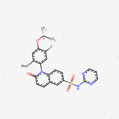 COc1cc(O[C@@H](C)C(F)(F)F)c(F)cc1-n1c(=O)ccc2cc(S(=O)(=O)Nc3ncccn3)ccc21